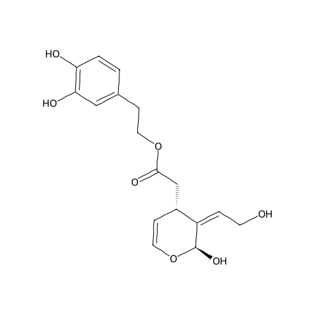 O=C(C[C@H]1C=CO[C@H](O)/C1=C\CO)OCCc1ccc(O)c(O)c1